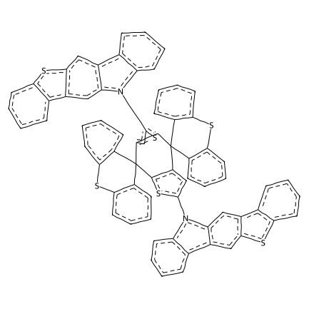 c1ccc2c(c1)Sc1ccccc1C21c2cc(-n3c4ccccc4c4cc5sc6ccccc6c5cc43)sc2C2(c3ccccc3Sc3ccccc32)c2cc(-n3c4ccccc4c4cc5sc6ccccc6c5cc43)sc21